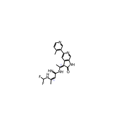 C/C(=C/C(=N)N/C(C)=C1\C(=O)Nc2cnc(-c3cnccc3C)cc21)NC(F)F